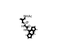 C=C(CNC(C)=O)C[S+]([O-])NC(=O)Nc1c2c(cc3c1CCC3)CCC2